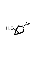 CC(=O)N1CC2C[C@]2(C)C1